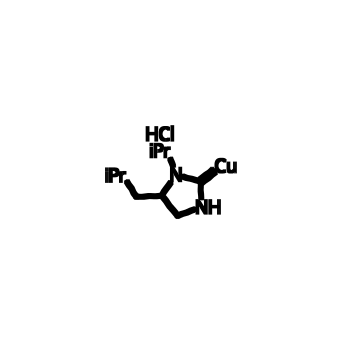 CC(C)CC1CN[C](=[Cu])N1C(C)C.Cl